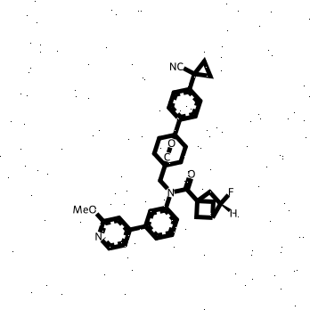 COc1cc(-c2cccc(N(CC34CCC(c5ccc(C6(C#N)CC6)cc5)(CC3)OC4)C(=O)C34CC(C3)[C@@H](F)C4)c2)ccn1